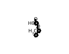 Cc1c(COc2ccc(C=O)c(O)c2)cccc1-c1ccccc1